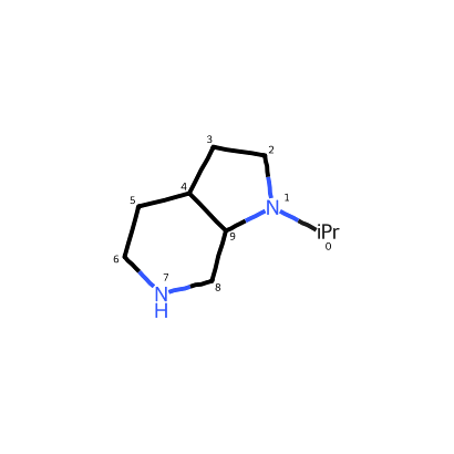 CC(C)N1CCC2CCNCC21